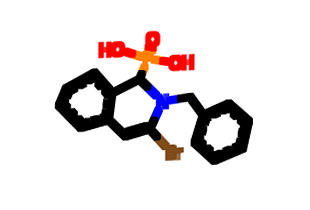 O=P(O)(O)C1c2ccccc2C=C(Br)N1Cc1ccccc1